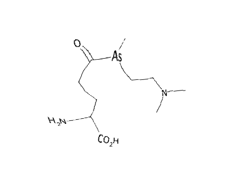 CN(C)CC[As](C)C(=O)CCC(N)C(=O)O